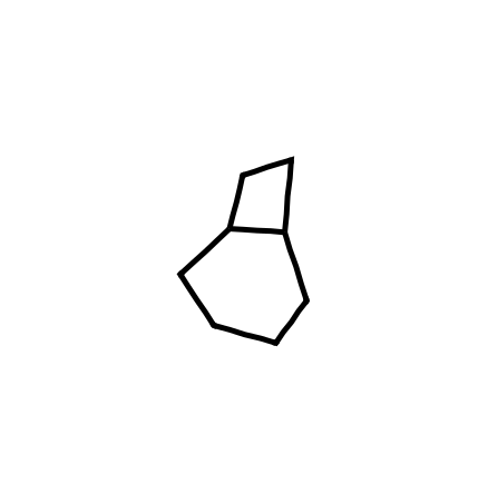 C1CCC2CCC2C1